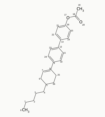 CCCCCC1CC=C(c2ccc(-c3ccc(OC(C)=O)cc3)cc2)CC1